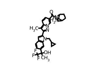 Cc1c(-c2cc3ccc(C(C)(O)C(F)(F)F)cc3n2CC2CC2)nn2cc(C(=O)N3CC4CCC3[C@@H]4N)ccc12